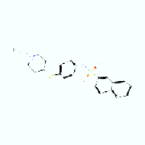 CN1CCC(Sc2ccc(NS(=O)(=O)c3ccc4ccccc4c3)cc2)CC1